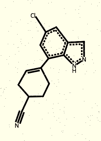 N#CC1CC=C(c2cc(Cl)cc3cn[nH]c23)CC1